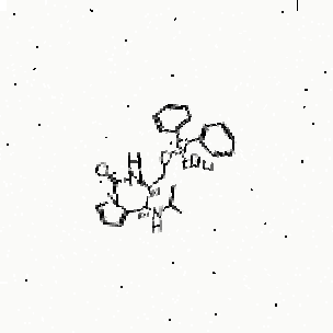 C=C(C)N[C@@H]1c2cccn2C(=O)N[C@H]1CO[Si](c1ccccc1)(c1ccccc1)C(C)(C)C